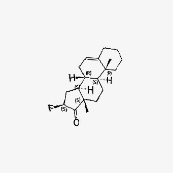 C[C@]12CCCCC1=CC[C@@H]1[C@@H]2CC[C@]2(C)C(=O)[C@@H](F)C[C@@H]12